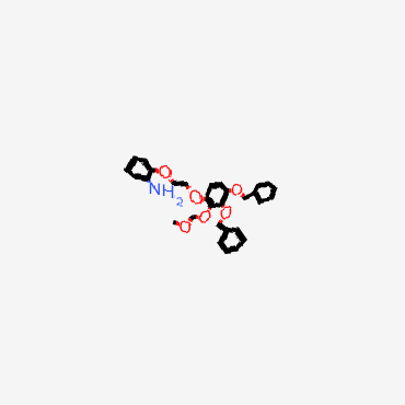 COCOc1c(OCCOc2ccccc2N)ccc(OCc2ccccc2)c1OCc1ccccc1